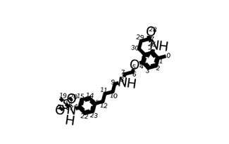 Cc1ccc(OCCNCCCCc2ccc(NS(C)(=O)=O)cc2)c2c1NC(=O)CC2